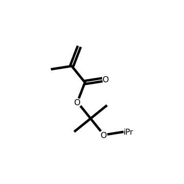 C=C(C)C(=O)OC(C)(C)OC(C)C